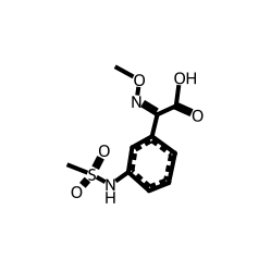 CON=C(C(=O)O)c1cccc(NS(C)(=O)=O)c1